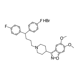 Br.COc1cc2onc(C3CCN(CCCC(c4ccc(F)cc4)c4ccc(F)cc4)CC3)c2cc1OC